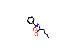 CCCCC1N=C(c2ccccc2)OC1=O